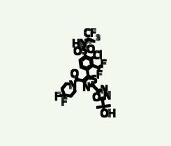 C[C@H](NS(=O)(=O)c1ccc(-c2sc(-c3nnc(C(C)(C)O)o3)nc2C(=O)N2CCC(F)(F)CC2)c(C(F)F)c1Cl)C(F)(F)F